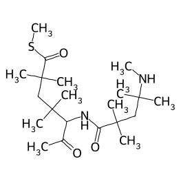 CNC(C)(C)CC(C)(C)C(=O)NC(C(C)=O)C(C)(C)CC(C)(C)C(=O)SC